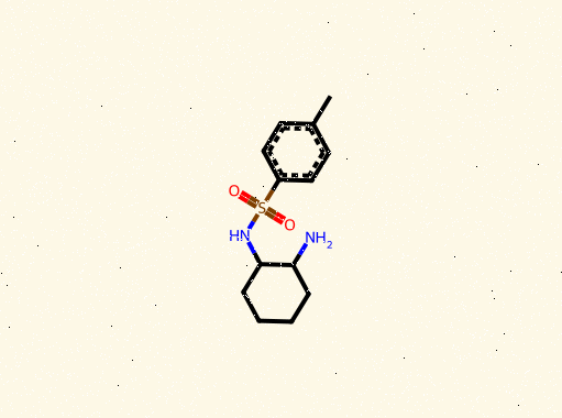 Cc1ccc(S(=O)(=O)NC2CCCCC2N)cc1